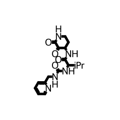 CC(C)C(NC(=O)NCc1ccccn1)C(=O)NC1CCNC(=O)C1=O